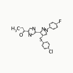 CCC(=O)c1cnc(-c2nn(-c3ccc(F)cc3)cc2Sc2ccc(Cl)cc2)cn1